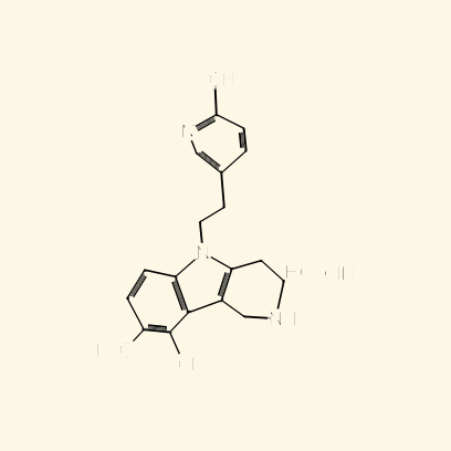 Cc1ccc(CCn2c3c(c4c(C)c(C)ccc42)CNCC3)cn1.Cl.Cl